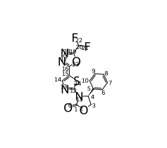 O=C1OC[C@H](c2ccccc2)N1c1ncc(-c2nnc(C(F)F)o2)s1